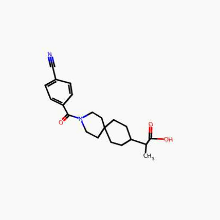 CC(C(=O)O)C1CCC2(CC1)CCN(C(=O)c1ccc(C#N)cc1)CC2